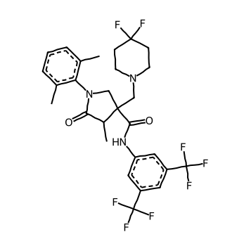 Cc1cccc(C)c1N1CC(CN2CCC(F)(F)CC2)(C(=O)Nc2cc(C(F)(F)F)cc(C(F)(F)F)c2)C(C)C1=O